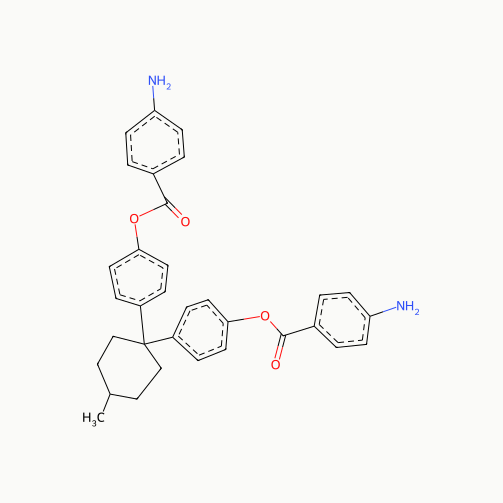 CC1CCC(c2ccc(OC(=O)c3ccc(N)cc3)cc2)(c2ccc(OC(=O)c3ccc(N)cc3)cc2)CC1